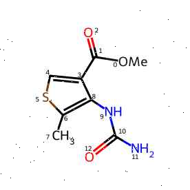 COC(=O)c1csc(C)c1NC(N)=O